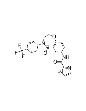 Cn1ccnc1C(=O)Nc1ccc2c(c1)[Si](=O)N(C1C=CC(C(F)(F)F)=CC1)CCO2